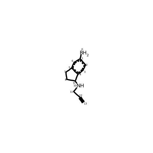 Bc1ccc2c(c1)CCC2NCC#C